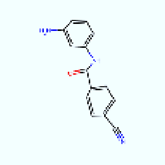 N#Cc1ccc(C(=O)Nc2cccc(N)c2)cc1